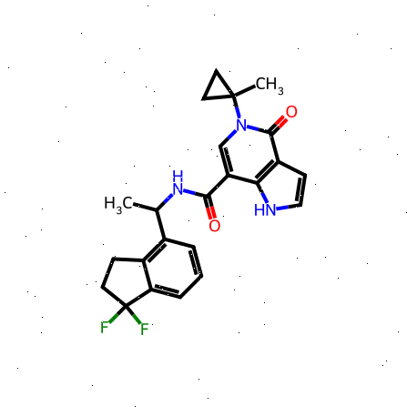 CC(NC(=O)c1cn(C2(C)CC2)c(=O)c2cc[nH]c12)c1cccc2c1CCC2(F)F